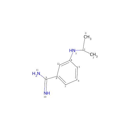 CC(C)Nc1[c]ccc(C(=N)N)c1